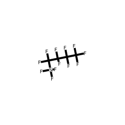 FC(F)(F)C(F)(F)C(F)(F)C(F)(F)[Si](F)(F)F